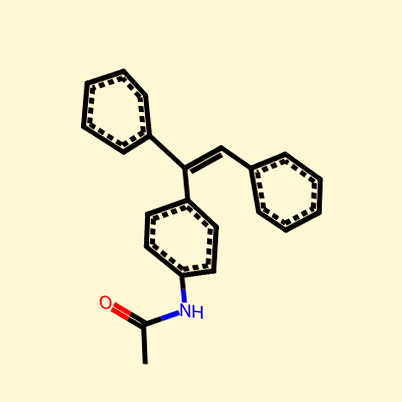 CC(=O)Nc1ccc(/C(=C\c2ccccc2)c2ccccc2)cc1